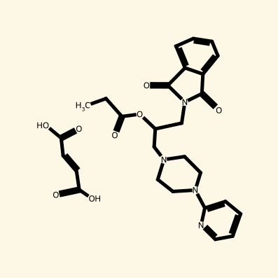 CCC(=O)OC(CN1CCN(c2ccccn2)CC1)CN1C(=O)c2ccccc2C1=O.O=C(O)C=CC(=O)O